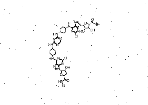 CCNC(=O)[C@@H]1C[C@@H](O)[C@H](n2cnc3c(N[C@H]4CC[C@H](Nc5ncnc(N[C@H]6CC[C@H](Nc7nc(Cl)nc8c7ncn8[C@@H]7O[C@H](C(=O)NCC)[C@@H](O)[C@H]7O)CC6)n5)CC4)nc(Cl)nc32)O1